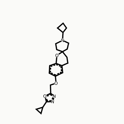 c1cc2c(cc1OCc1nnc(C3CC3)o1)CCC1(CCN(C3CCC3)CC1)O2